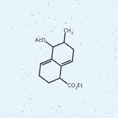 CCOC(=O)C1CCC=C2C1=CCC(C)C2OC(C)=O